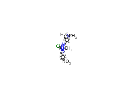 Cc1n(N=Cc2ccc(N(C)C)cc2)cc[n+]1N=Cc1ccc([N+](=O)[O-])cc1.[Cl-]